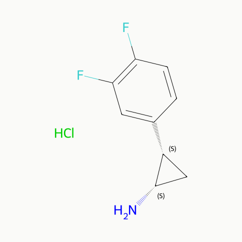 Cl.N[C@H]1C[C@H]1c1ccc(F)c(F)c1